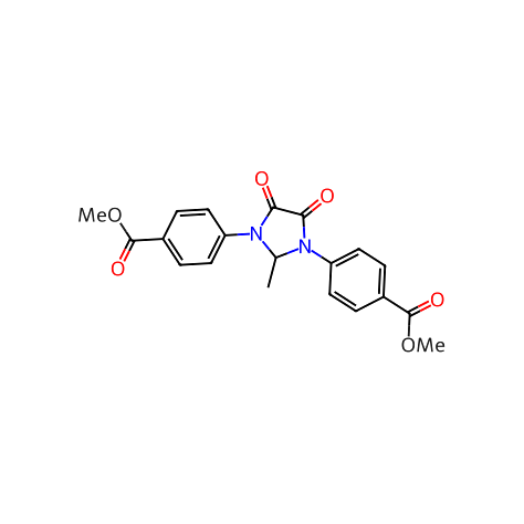 COC(=O)c1ccc(N2C(=O)C(=O)N(c3ccc(C(=O)OC)cc3)C2C)cc1